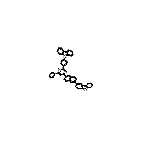 c1ccc(-c2cc(-c3ccc4cc(-c5ccc6oc7ccccc7c6c5)ccc4c3)nc(-c3ccc(-n4c5ccccc5c5ccccc54)cc3)n2)cc1